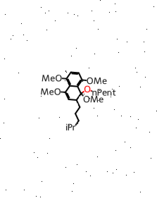 CCCCCOC1(OC)c2c(OC)ccc(OC)c2C(OC)=CC1CCCC(C)C